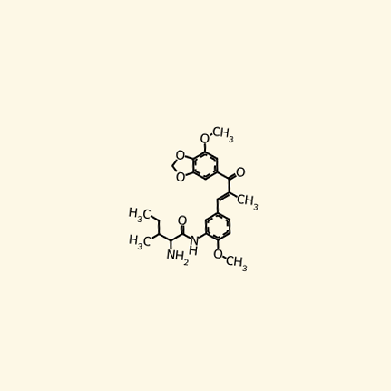 CCC(C)C(N)C(=O)Nc1cc(C=C(C)C(=O)c2cc(OC)c3c(c2)OCO3)ccc1OC